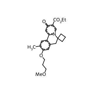 CCOC(=O)c1cn2c(cc1=O)-c1cc(C)c(OCCCOC)cc1CC21CCC1